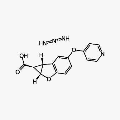 N=[N+]=N.O=C(O)[C@@H]1[C@H]2Oc3ccc(Oc4ccncc4)cc3[C@H]21